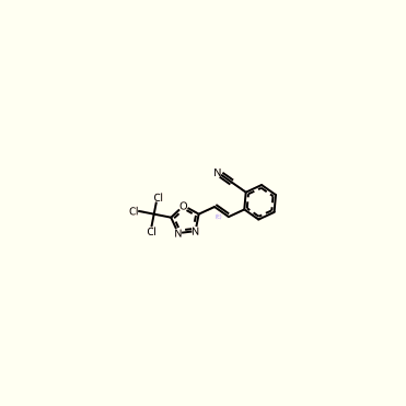 N#Cc1ccccc1/C=C/c1nnc(C(Cl)(Cl)Cl)o1